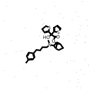 Cc1ccc(CCCCN(C)C2CC3CCC2C3OC(=O)C(O)(C2=CCCS2)c2cccs2)cc1